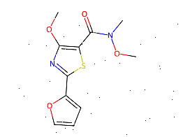 COc1nc(-c2ccco2)sc1C(=O)N(C)OC